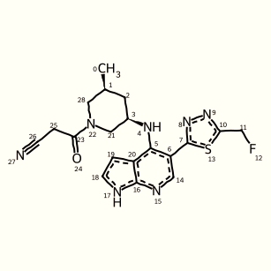 C[C@H]1C[C@@H](Nc2c(-c3nnc(CF)s3)cnc3[nH]ccc23)CN(C(=O)CC#N)C1